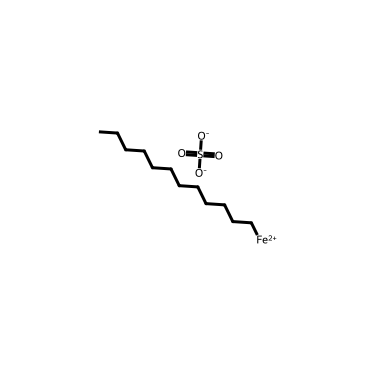 CCCCCCCCCCC[CH2][Fe+2].O=S(=O)([O-])[O-]